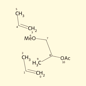 C=CC.C=CC.COCC(C)OC(C)=O